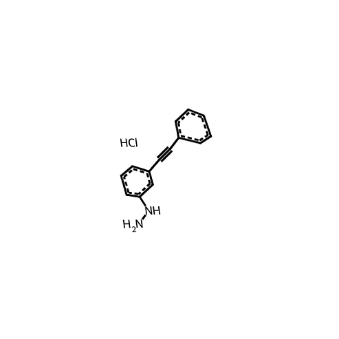 Cl.NNc1cccc(C#Cc2ccccc2)c1